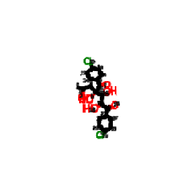 CC(=O)C[C@@](O)(C(=O)c1ccc(Cl)cc1)[C@H](O)C(O)C(=O)c1ccc(Cl)cc1